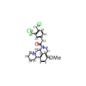 COc1cccc2c1CCN(C(=O)Cc1ccc(CCl)c(CCl)c1)C2CN1CCCCC1